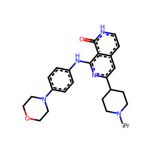 CC(C)N1CCC(c2cc3cc[nH]c(=O)c3c(Nc3ccc(N4CCOCC4)cc3)n2)CC1